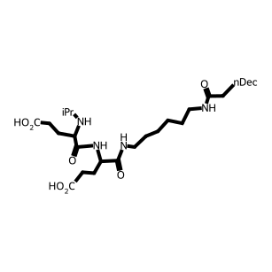 CCCCCCCCCCCC(=O)NCCCCCCNC(=O)C(CCC(=O)O)NC(=O)C(CCC(=O)O)NC(C)C